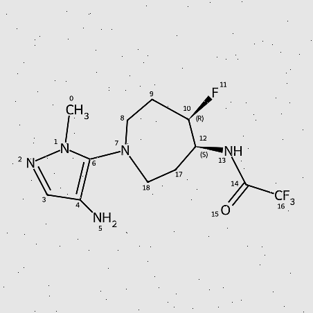 Cn1ncc(N)c1N1CC[C@@H](F)[C@@H](NC(=O)C(F)(F)F)CC1